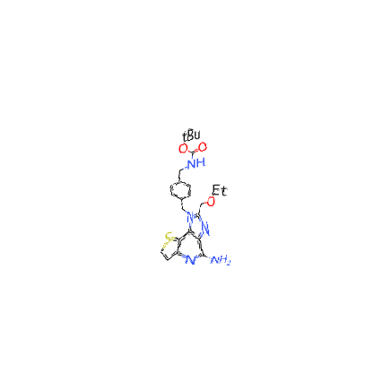 CCOCc1nc2c(N)nc3ccsc3c2n1Cc1ccc(CNC(=O)OC(C)(C)C)cc1